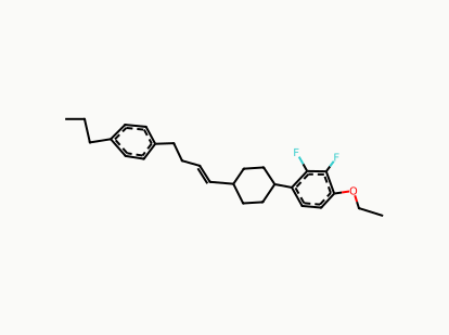 CCCc1ccc(CCC=CC2CCC(c3ccc(OCC)c(F)c3F)CC2)cc1